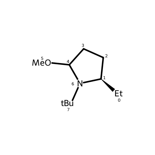 CC[C@@H]1CCC(OC)N1C(C)(C)C